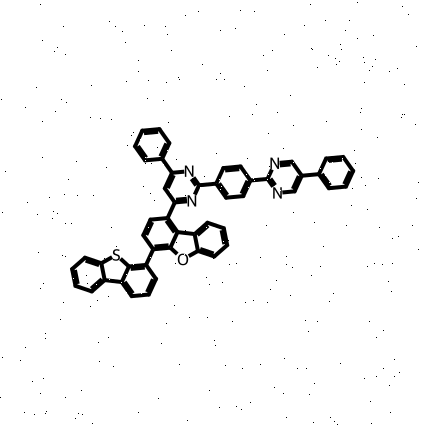 c1ccc(-c2cnc(-c3ccc(-c4nc(-c5ccccc5)cc(-c5ccc(-c6cccc7c6sc6ccccc67)c6oc7ccccc7c56)n4)cc3)nc2)cc1